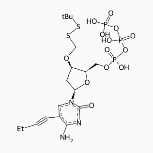 CCC#Cc1cn([C@H]2C[C@@H](OCSSC(C)(C)C)[C@@H](COP(=O)(O)OP(=O)(O)OP(=O)(O)O)O2)c(=O)nc1N